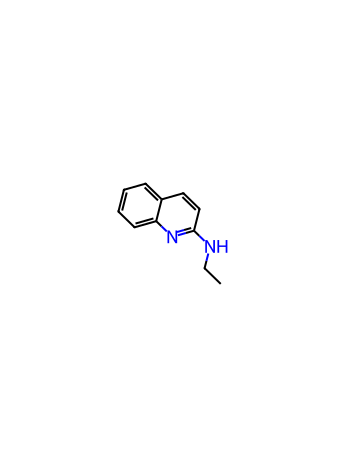 CCNc1ccc2ccccc2n1